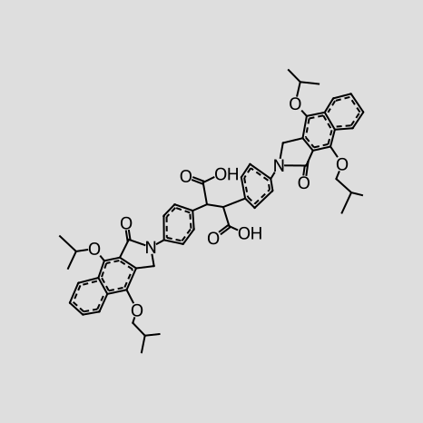 CC(C)COc1c2c(c(OC(C)C)c3ccccc13)C(=O)N(c1ccc(C(C(=O)O)C(C(=O)O)c3ccc(N4Cc5c(c(OCC(C)C)c6ccccc6c5OC(C)C)C4=O)cc3)cc1)C2